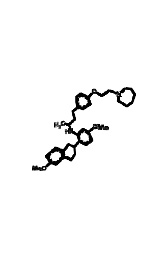 COc1ccc2c(c1)CCC(c1ccc(OC)cc1NC(C)CCc1ccc(OCCN3CCCCCC3)cc1)C2